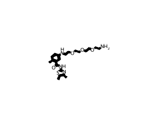 Cc1ccc(NCCOCCOCCOCCN)cc1C(=O)Nc1nc(C)c(C)s1